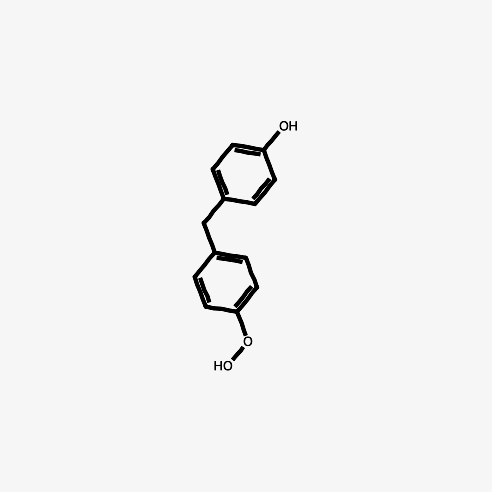 OOc1ccc(Cc2ccc(O)cc2)cc1